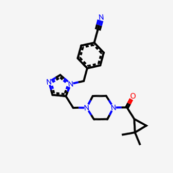 CC1(C)CC1C(=O)N1CCN(Cc2cncn2Cc2ccc(C#N)cc2)CC1